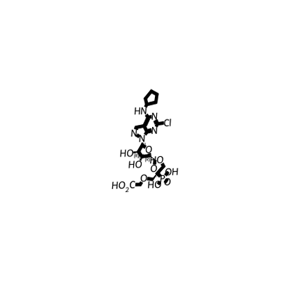 O=C(O)COC[C@](CO)(OC[C@H]1O[C@@H](n2ncc3c(NC4CCCC4)nc(Cl)nc32)[C@H](O)[C@@H]1O)P(=O)(O)O